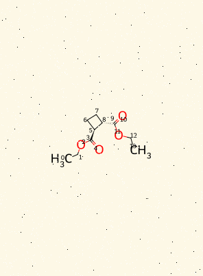 CCOC(=O)[C@H]1CC[C@@H]1C(=O)OCC